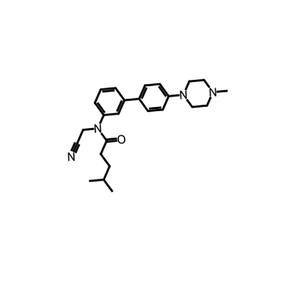 CC(C)CCC(=O)N(CC#N)c1cccc(-c2ccc(N3CCN(C)CC3)cc2)c1